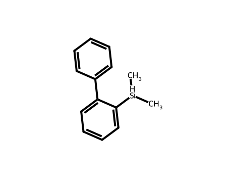 C[SiH](C)c1ccccc1-c1ccccc1